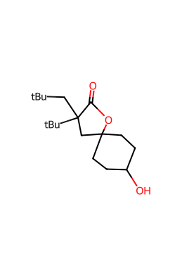 CC(C)(C)CC1(C(C)(C)C)CC2(CCC(O)CC2)OC1=O